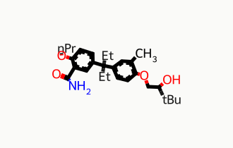 CCCOc1ccc(C(CC)(CC)c2ccc(OCC(O)C(C)(C)C)c(C)c2)cc1C(N)=O